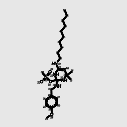 CCCCCCCCCCNC1=NC(C)(C)NC(NCc2ccc(OC)cc2)(OS(C)(=O)=O)N1